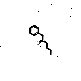 CCC=CC(=O)Cc1ccccc1